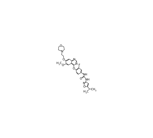 COc1cc2c(Oc3ccc(NC(=O)Nc4cc(C(C)C)on4)cc3F)ncnc2cc1OCCN1CCOCC1